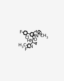 Cc1cc([C@@H](NC(=O)c2cc(Cn3ccn(C)c3=N)cc(-c3ccc(F)cc3Cl)c2)C2CC2)ncc1F